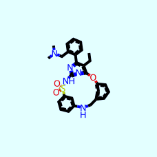 CCc1c2nc(nc1-c1ccccc1CN(C)C)NS(=O)(=O)c1cccc(c1)NCc1cccc(c1)O2